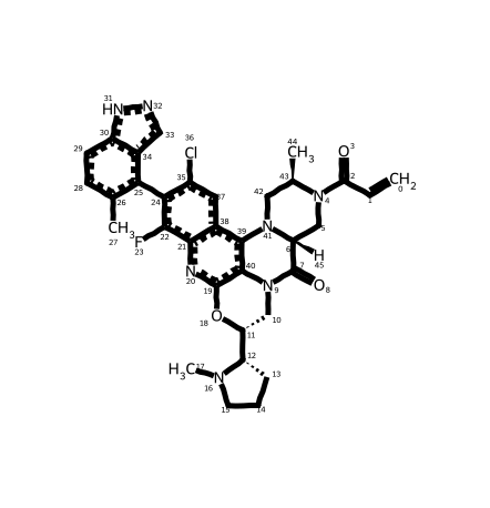 C=CC(=O)N1C[C@@H]2C(=O)N3C[C@H]([C@@H]4CCCN4C)Oc4nc5c(F)c(-c6c(C)ccc7[nH]ncc67)c(Cl)cc5c(c43)N2C[C@H]1C